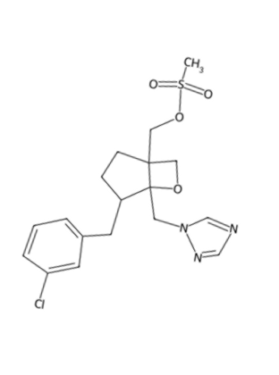 CS(=O)(=O)OCC12CCC(Cc3cccc(Cl)c3)C1(Cn1cncn1)OC2